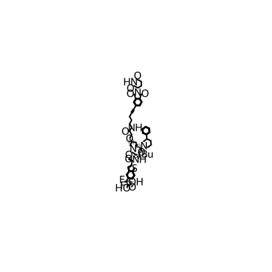 CC(C)(C)[C@H](NC(=O)c1cc2cc(C(F)(F)P(=O)(O)O)ccc2s1)C(=O)N1C[C@@H](OCC(=O)NCCCC#Cc2ccc3c(c2)C(=O)N(C2CCC(=O)NC2=O)C3=O)C[C@H]1C(=O)N1CCCC(c2ccccc2)C1